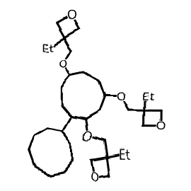 CCC1(COC2CCC(OCC3(CC)COC3)CC(OCC3(CC)COC3)C(C3CCCCCCCC3)CC2)COC1